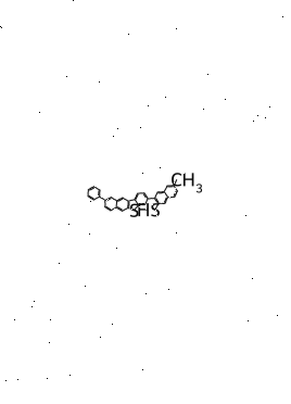 Cc1ccc2cc(S)c(-c3ccc4c(c3)sc3cc5ccc(-c6ccccc6)cc5cc34)cc2c1